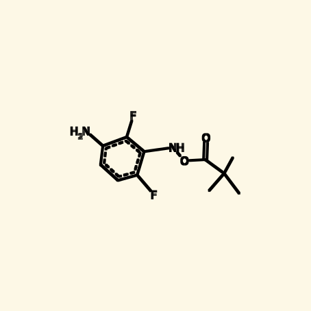 CC(C)(C)C(=O)ONc1c(F)ccc(N)c1F